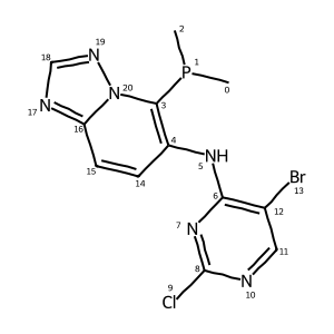 CP(C)c1c(Nc2nc(Cl)ncc2Br)ccc2ncnn12